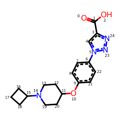 O=C(O)c1cn(-c2ccc(OC3CCN(C4CCC4)CC3)cc2)nn1